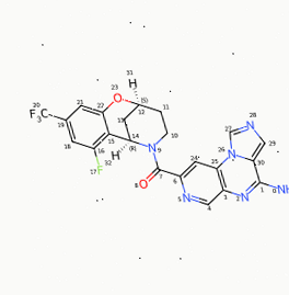 Nc1nc2cnc(C(=O)N3CC[C@H]4C[C@@H]3c3c(F)cc(C(F)(F)F)cc3O4)cc2n2cncc12